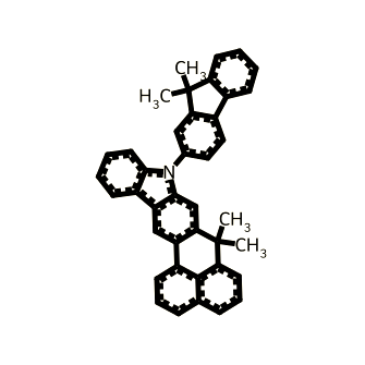 CC1(C)c2ccccc2-c2ccc(-n3c4ccccc4c4cc5c(cc43)C(C)(C)c3cccc4cccc-5c34)cc21